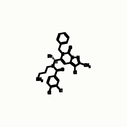 Cc1nn2c(=O)n(Cc3ccccc3)c([C@@H](C(C)C)N(CCCN)C(=O)c3ccc(Cl)c(Cl)c3)cc2c1Cl